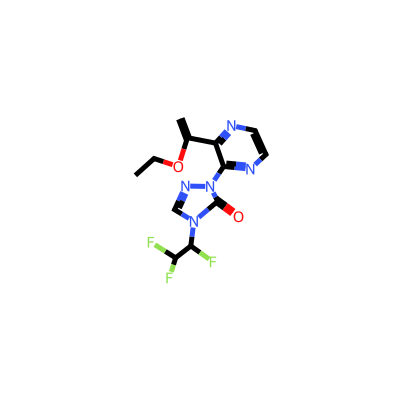 C=C(OCC)c1nccnc1-n1ncn(C(F)C(F)F)c1=O